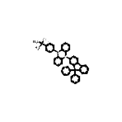 CC(C)(C)c1ccc(N2c3ccccc3N(c3ccc4c(c3)C(c3ccccc3)(c3ccccc3)c3ccccc3-4)c3ccccc32)cc1